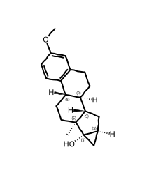 COc1ccc2c(c1)CC[C@@H]1[C@@H]2CC[C@@]2(C)[C@H]1C[C@H]1C[C@]12O